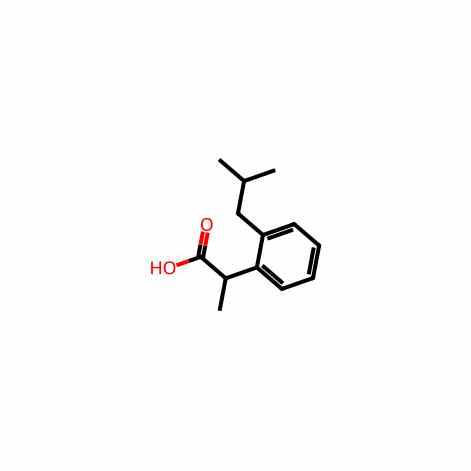 CC(C)Cc1ccccc1C(C)C(=O)O